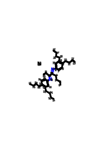 CCCCC(=N\c1ccc(CCCC)c(CCCC)c1)/C(CC)=N/c1ccc(CCCC)c(CCCC)c1.[Ni]